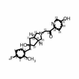 Cc1cc(F)ccc1CC1(O)C[C@H]2CN(CC(=O)c3ccc(O)cn3)C[C@H]2C1